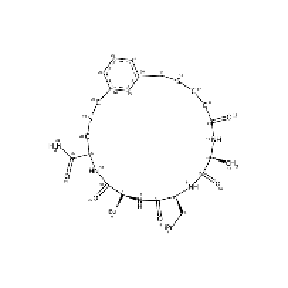 CC[C@H](C)[C@@H]1NC(=O)[C@H](CC(C)C)NC(=O)[C@H](C)NC(=O)CCSCc2cccc(c2)CSCC(C(N)=O)NC1=O